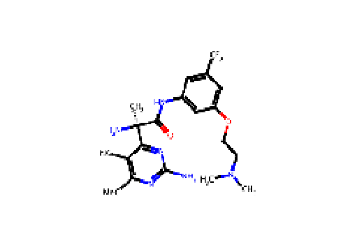 COc1nc(N)nc([C@@](C)(N)C(=O)Nc2cc(OCCN(C)C)cc(C(F)(F)F)c2)c1C#N